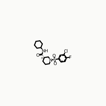 O=C(NC1CCCCC1)[C@H]1CCCN(S(=O)(=O)c2ccc(F)c(Cl)c2)C1